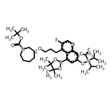 CC(C)[Si](Oc1cc(B2OC(C)(C)C(C)(C)O2)c2c(CCCO[C@@H]3CCCCN(C(=O)OC(C)(C)C)C3)c(F)cnc2c1)(C(C)C)C(C)C